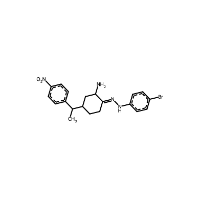 CC(c1ccc([N+](=O)[O-])cc1)C1CCC(=NNc2ccc(Br)cc2)C(N)C1